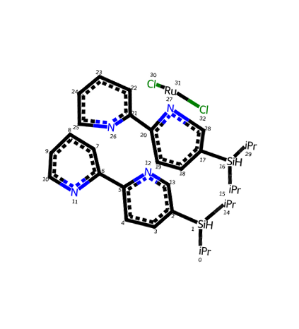 CC(C)[SiH](c1ccc(-c2ccccn2)nc1)C(C)C.CC(C)[SiH](c1ccc(-c2ccccn2)nc1)C(C)C.[Cl][Ru][Cl]